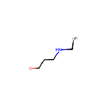 CCCCNCCC[O]